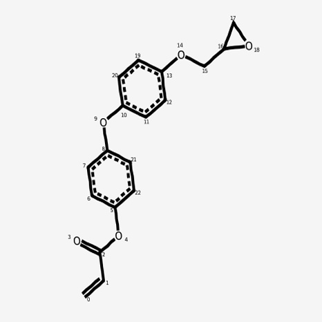 C=CC(=O)Oc1ccc(Oc2ccc(OCC3CO3)cc2)cc1